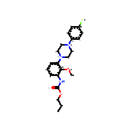 CCCOC(=O)Nc1cccc(N2CCN(c3ccc(F)cc3)CC2)c1OC